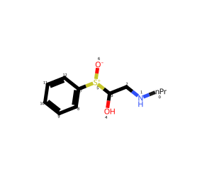 CCCNCC(O)[S+]([O-])c1ccccc1